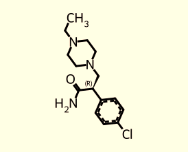 CCN1CCN(C[C@H](C(N)=O)c2ccc(Cl)cc2)CC1